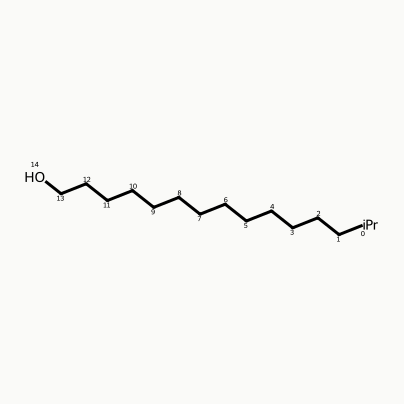 CC(C)CCCCCCCCCCCCCO